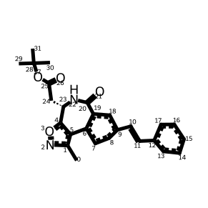 Cc1noc2c1-c1ccc(C=Cc3ccccc3)cc1C(=O)N[C@H]2CC(=O)OC(C)(C)C